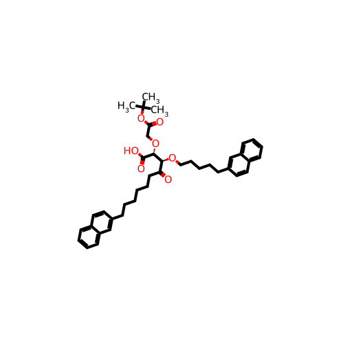 CC(C)(C)OC(=O)CO[C@@H](C(=O)O)[C@@H](OCCCCCc1ccc2ccccc2c1)C(=O)CCCCCCc1ccc2ccccc2c1